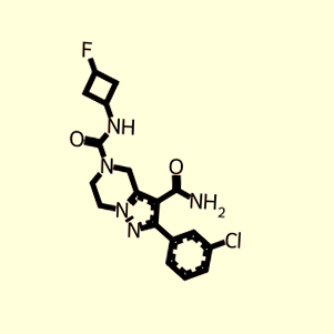 NC(=O)c1c(-c2cccc(Cl)c2)nn2c1CN(C(=O)NC1CC(F)C1)CC2